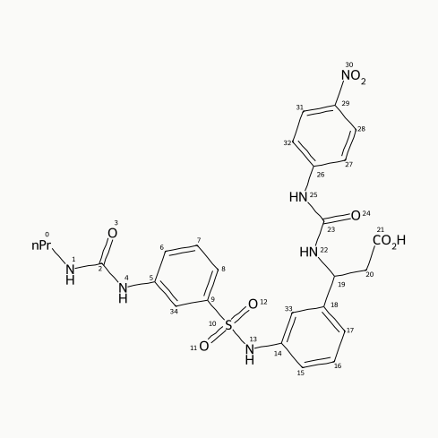 CCCNC(=O)Nc1cccc(S(=O)(=O)Nc2cccc(C(CC(=O)O)NC(=O)Nc3ccc([N+](=O)[O-])cc3)c2)c1